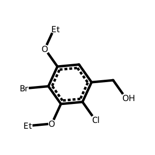 CCOc1cc(CO)c(Cl)c(OCC)c1Br